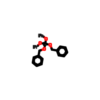 CC(C)[O][Zr]([O]Cc1ccccc1)([O]Cc1ccccc1)[O]C(C)C